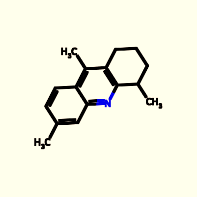 Cc1ccc2c(C)c3c(nc2c1)C(C)CCC3